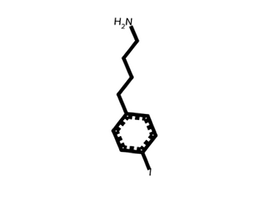 NCCCCc1ccc(I)cc1